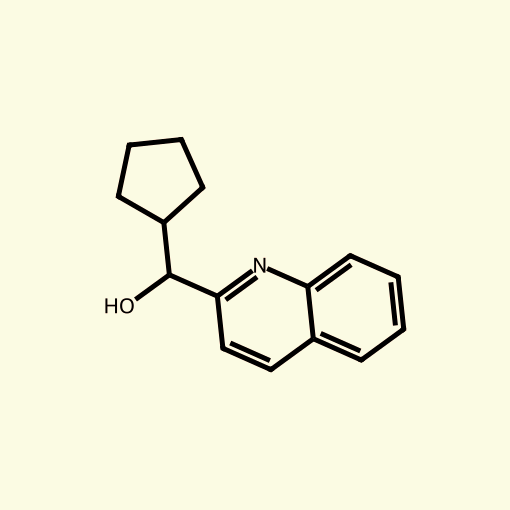 OC(c1ccc2ccccc2n1)C1CCCC1